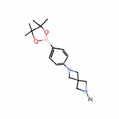 CC(=O)N1CC2(C1)CN(c1ccc(B3OC(C)(C)C(C)(C)O3)cc1)C2